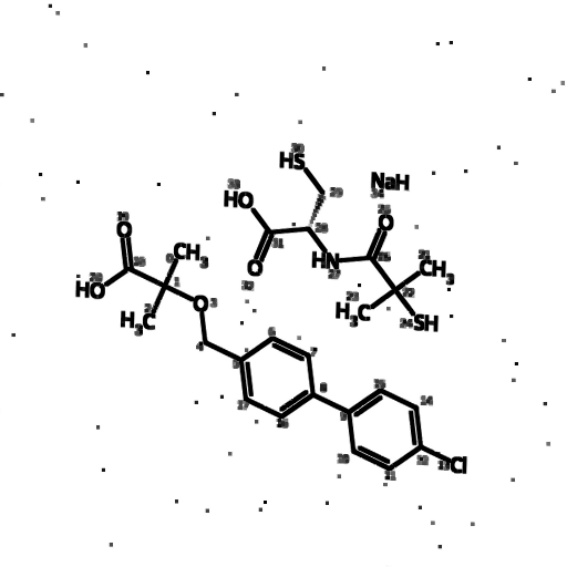 CC(C)(OCc1ccc(-c2ccc(Cl)cc2)cc1)C(=O)O.CC(C)(S)C(=O)N[C@@H](CS)C(=O)O.[NaH]